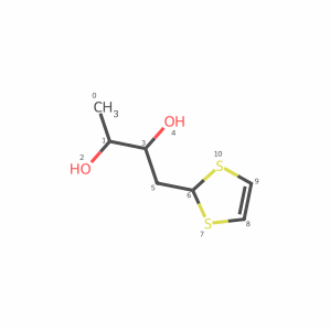 CC(O)C(O)CC1SC=CS1